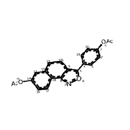 CC(=O)Oc1ccc(-c2onc3c2ccc2cc(OC(C)=O)ccc23)cc1